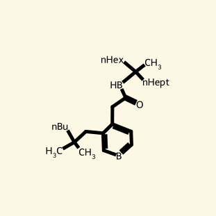 CCCCCCCC(C)(BC(=O)Cc1ccbcc1CC(C)(C)CCCC)CCCCCC